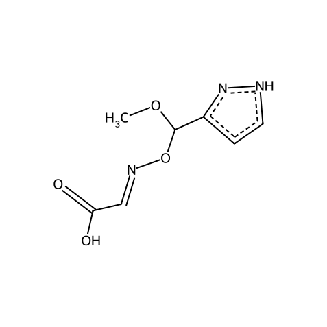 COC(ON=CC(=O)O)c1cc[nH]n1